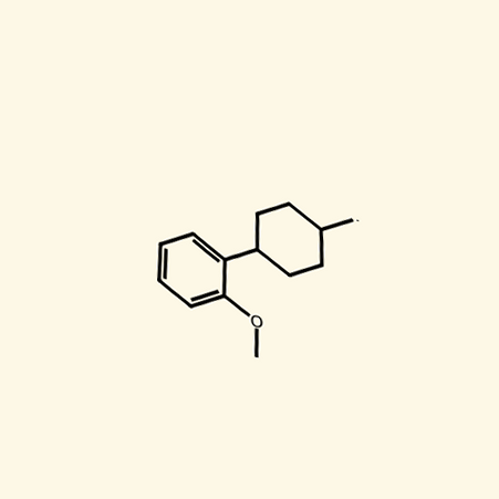 [CH2]C1CCC(c2ccccc2OC)CC1